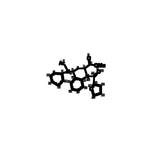 COC(=O)C1CC(N(C(C)=O)c2ccccc2)c2ccccc2N1C(=O)c1ccco1